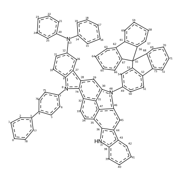 c1ccc(-c2ccc(-n3c4ccc(N(c5ccccc5)c5ccccc5)cc4c4cc5c6c(ccc7c8[nH]c9ccccc9c8cc(c76)n5-c5ccc6c(c5)C5(c7ccccc7-c7ccccc75)c5ccccc5-6)c43)cc2)cc1